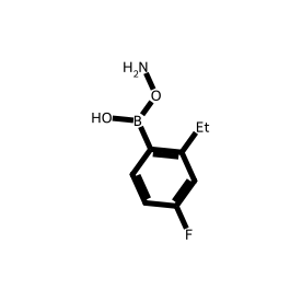 CCc1cc(F)ccc1B(O)ON